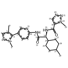 Cc1cnn(C)c1-c1ccc(NC(=O)[C@@H](NC(=O)c2cnnn2C)C2CCC(C)CC2)nc1